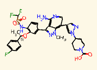 C[C@H](Oc1cc(-c2nn(C)c3c(-c4cnn(C5CCN(C(=O)O)CC5)c4)cnc(N)c23)ccc1NS(=O)(=O)C(F)F)c1ccc(F)cc1